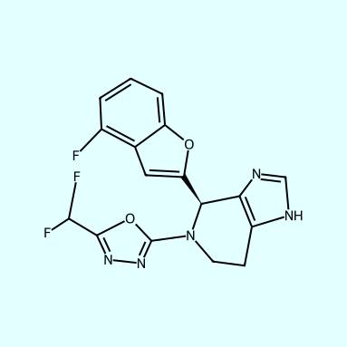 Fc1cccc2oc([C@H]3c4nc[nH]c4CCN3c3nnc(C(F)F)o3)cc12